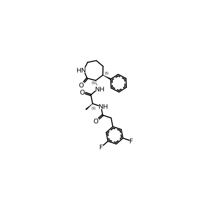 C[C@H](NC(=O)Cc1cc(F)cc(F)c1)C(=O)N[C@@H]1C(=O)NCCC[C@H]1c1ccccc1